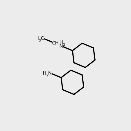 CC.NC1CCCCC1.NC1CCCCC1